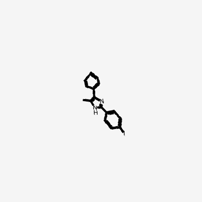 Cc1[nH]c(-c2ccc(I)cc2)nc1-c1ccccc1